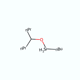 CCCC[SiH2]OC(CCC)CCC